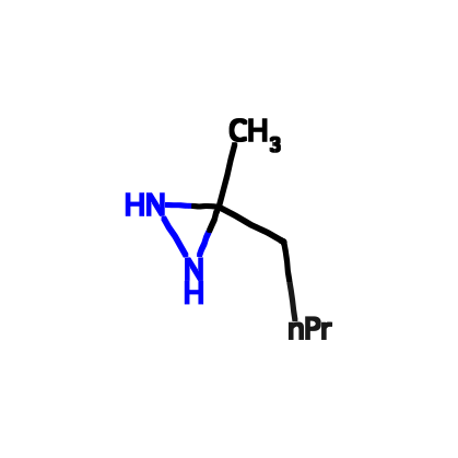 CCCCC1(C)NN1